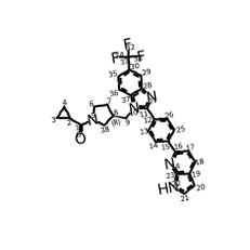 O=C(C1CC1)N1CC[C@@H](Cn2c(-c3ccc(-c4ccc5cc[nH]c5n4)cc3)nc3cc(C(F)(F)F)ccc32)C1